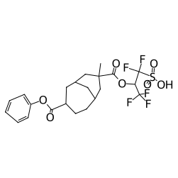 CC1(C(=O)OC(C(F)(F)F)C(F)(F)S(=O)(=O)O)CC2CCC(C(=O)Oc3ccccc3)CC(C2)C1